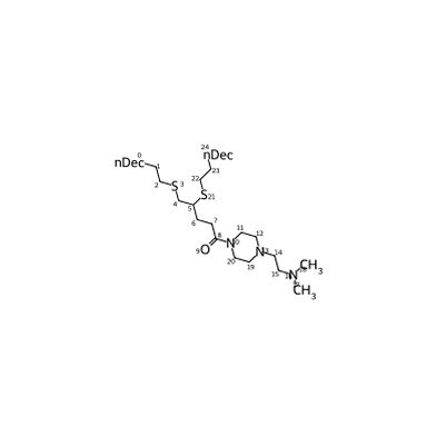 CCCCCCCCCCCCSCC(CCC(=O)N1CCN(CCN(C)C)CC1)SCCCCCCCCCCCC